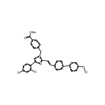 CCOc1ccc(-c2ccc(C=Cc3nc(-c4ccc(Cl)cc4Cl)cn3Cc3ccc(C(=O)OC)cc3)cc2)cc1